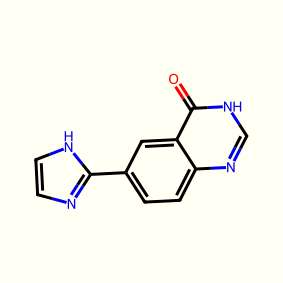 O=c1[nH]cnc2ccc(-c3ncc[nH]3)cc12